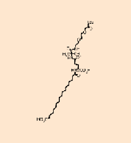 CC(C)(C)C(=O)COCCOCCNC(=O)C(C)(C)NC(=O)CC[C@H](NC(=O)CCCCCCCCCCCCCCCCC(=O)O)C(=O)O